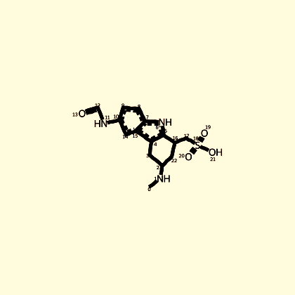 CNC1Cc2c([nH]c3ccc(NC=O)cc23)C(CS(=O)(=O)O)C1